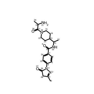 CC1=NN(c2ccc(C(=O)NC(C)C3CCN(C(=O)C(C)N)CC3)cc2)C(=O)C1